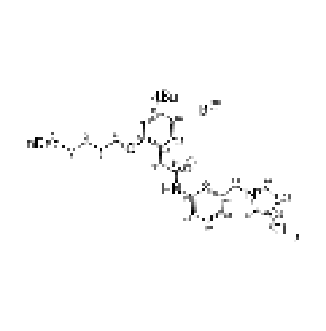 CCCCCCCCCCCCCCOc1cc(C(C)(C)C)ccc1CC(=O)Nc1cccc(C[n+]2csc(C)c2)c1.[Br-]